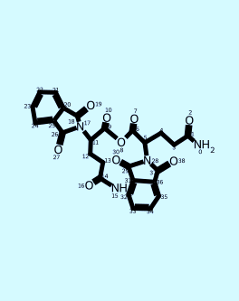 NC(=O)CCC(C(=O)OC(=O)C(CCC(N)=O)N1C(=O)c2ccccc2C1=O)N1C(=O)c2ccccc2C1=O